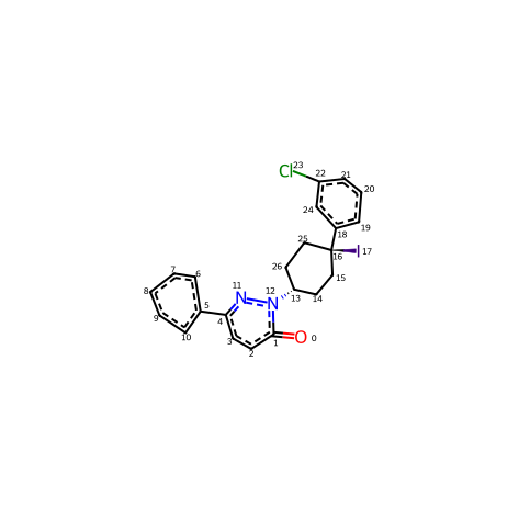 O=c1ccc(-c2ccccc2)nn1[C@H]1CC[C@@](I)(c2cccc(Cl)c2)CC1